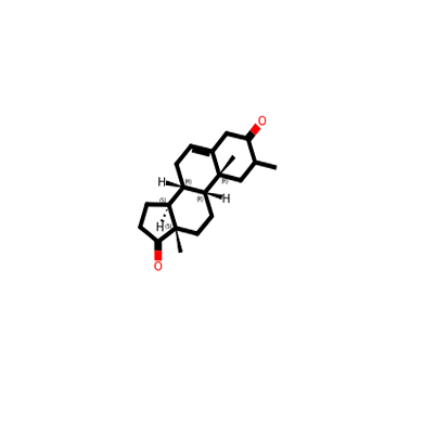 CC1C[C@@]2(C)C(=CC[C@@H]3[C@H]2CC[C@]2(C)C(=O)CC[C@@H]32)CC1=O